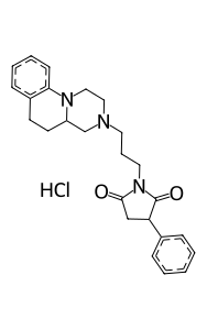 Cl.O=C1CC(c2ccccc2)C(=O)N1CCCN1CCN2c3ccccc3CCC2C1